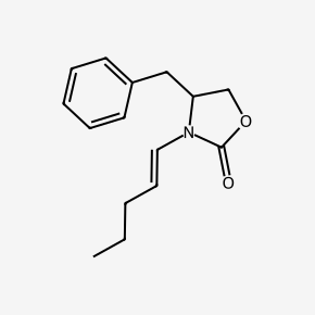 CCCC=CN1C(=O)OCC1Cc1ccccc1